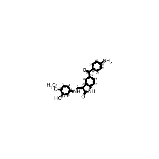 COc1ccc(NC=C2C(=O)Nc3ccc(C(=O)c4ccc(N)cc4)cc32)cc1O